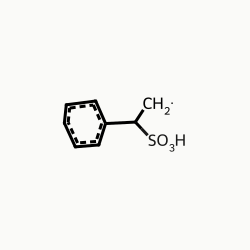 [CH2]C(c1ccccc1)S(=O)(=O)O